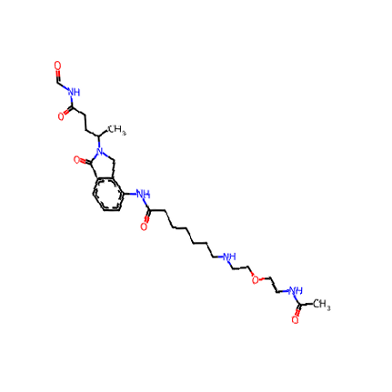 CC(=O)NCCOCCNCCCCCCC(=O)Nc1cccc2c1CN(C(C)CCC(=O)NC=O)C2=O